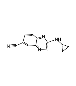 N#Cc1ccc2nc(NC3CC3)cnc2c1